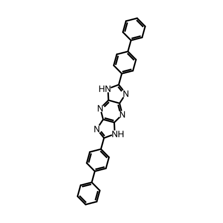 c1ccc(-c2ccc(-c3nc4nc5[nH]c(-c6ccc(-c7ccccc7)cc6)nc5nc4[nH]3)cc2)cc1